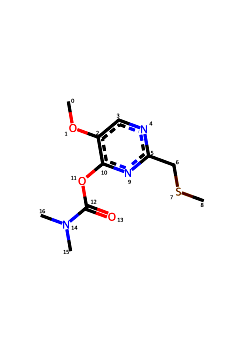 COc1cnc(CSC)nc1OC(=O)N(C)C